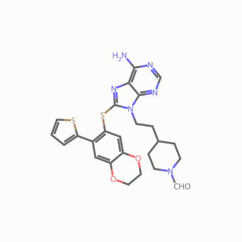 Nc1ncnc2c1nc(Sc1cc3c(cc1-c1cccs1)OCCO3)n2CCC1CCN(C=O)CC1